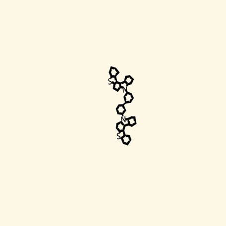 c1cc(-c2cccc(-n3c4ccccc4c4c5c(ccc43)sc3ccccc35)c2)cc(-n2c3ccccc3c3c4c(ccc32)sc2ccccc24)c1